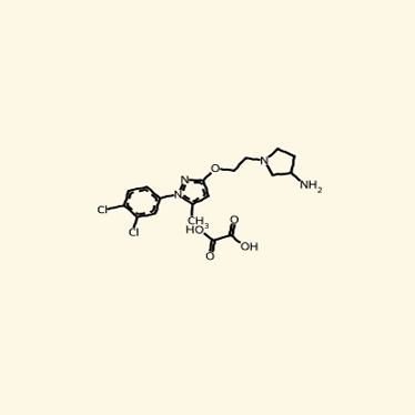 Cc1cc(OCCN2CCC(N)C2)nn1-c1ccc(Cl)c(Cl)c1.O=C(O)C(=O)O